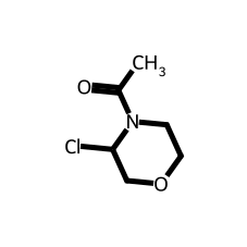 CC(=O)N1CCOCC1Cl